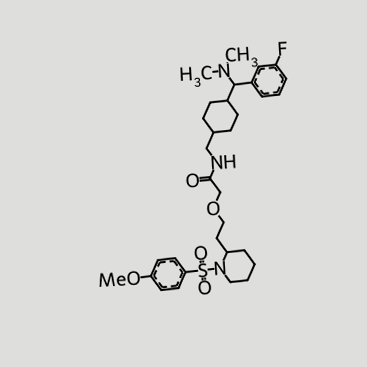 COc1ccc(S(=O)(=O)N2CCCCC2CCOCC(=O)NCC2CCC(C(c3cccc(F)c3)N(C)C)CC2)cc1